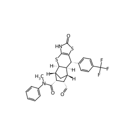 CN(C(=O)[C@H]1[C@@H](C=O)[C@@H]2C[C@H]1[C@H]1Sc3[nH]c(=O)sc3[C@H](c3ccc(C(F)(F)F)cc3)[C@@H]21)c1ccccc1